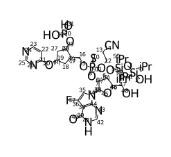 CC(C)[Si](O)(O[Si](O[C@H]1[C@@H](OP(=S)(OCCC#N)OC[C@H]2C[C@@H](Oc3ccncn3)C[C@@H]2O[PH](=O)O)[C@H](n2cc(F)c3c(=O)[nH]cnc32)O[C@@H]1CO)(C(C)C)C(C)C)C(C)C